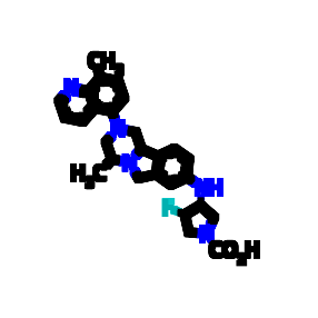 Cc1ccc(N2CC(C)N3Cc4cc(N[C@@H]5CN(C(=O)O)C[C@H]5F)ccc4C3C2)c2cccnc12